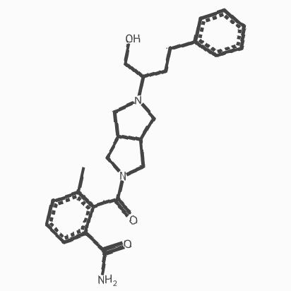 Cc1cccc(C(N)=O)c1C(=O)N1CC2CN(C(CO)C[CH]c3ccccc3)CC2C1